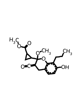 CCCc1c(O)ccc2c1OC(OC)(C1CC1C(=O)OC)C(=C=O)C2